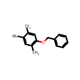 Cc1cc(C(C)(C)C)c(C(F)(F)F)cc1OCc1ccccc1